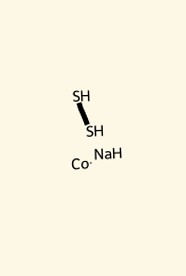 SS.[Co].[NaH]